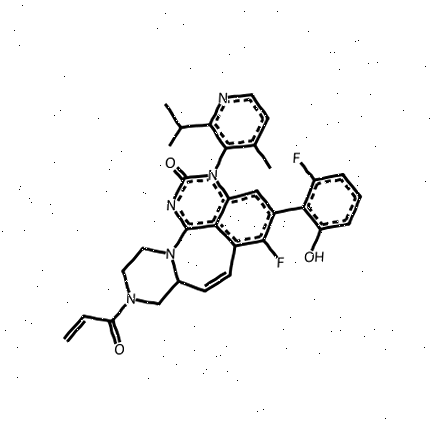 C=CC(=O)N1CCN2c3nc(=O)n(-c4c(C)ccnc4C(C)C)c4cc(-c5c(O)cccc5F)c(F)c(c34)C=CC2C1